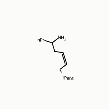 CCCC(N)C/C=C\C[C@@H](C)CCC